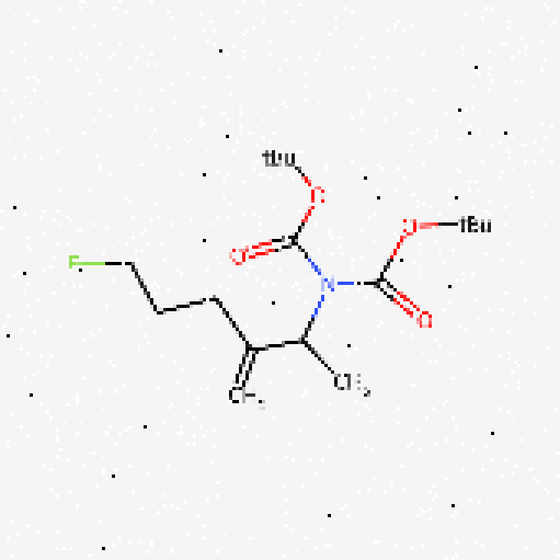 C=C(CCCF)C(C)N(C(=O)OC(C)(C)C)C(=O)OC(C)(C)C